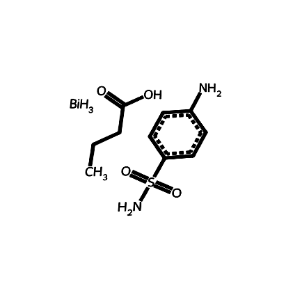 CCCC(=O)O.Nc1ccc(S(N)(=O)=O)cc1.[BiH3]